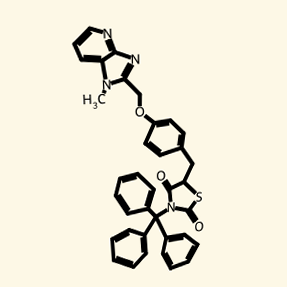 Cn1c(COc2ccc(CC3SC(=O)N(C(c4ccccc4)(c4ccccc4)c4ccccc4)C3=O)cc2)nc2ncccc21